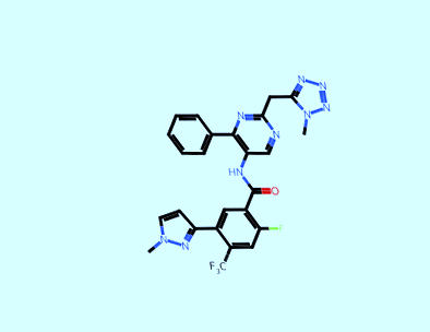 Cn1ccc(-c2cc(C(=O)Nc3cnc(Cc4nnnn4C)nc3-c3ccccc3)c(F)cc2C(F)(F)F)n1